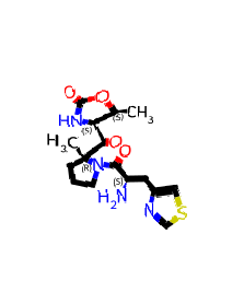 C[C@@H]1OC(=O)N[C@@H]1C(=O)[C@@]1(C)CCCN1C(=O)[C@@H](N)Cc1cscn1